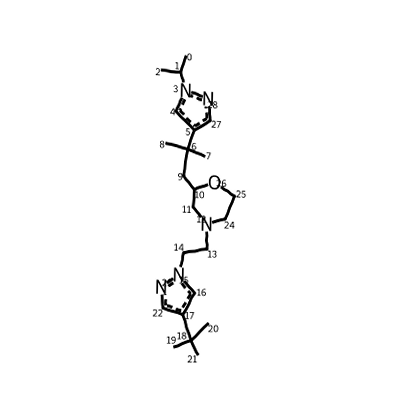 CC(C)n1cc(C(C)(C)CC2CN(CCn3cc(C(C)(C)C)cn3)CCO2)cn1